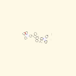 Cc1cc(C)c(N(c2ccccc2)c2ccc3c(c2)[Si](C)(C)c2cccc4c2c-3cc2c3ccccc3c(-c3ccc(N(c5ccccc5)c5ccccc5-c5ccccc5)cc3)cc42)c(C)c1